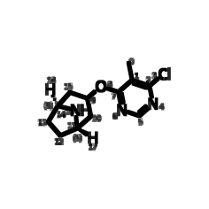 Cc1c(Cl)ncnc1OC1C[C@@H]2CC[C@@H](C1)N2